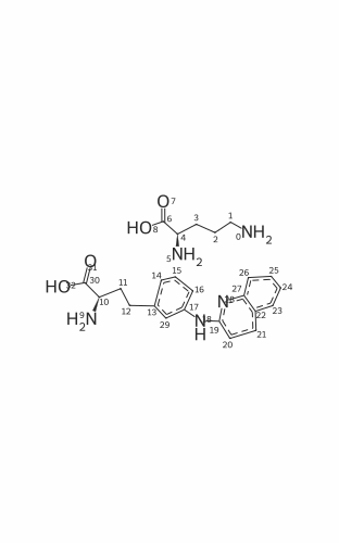 NCCC[C@@H](N)C(=O)O.N[C@H](CCc1cccc(Nc2ccc3ccccc3n2)c1)C(=O)O